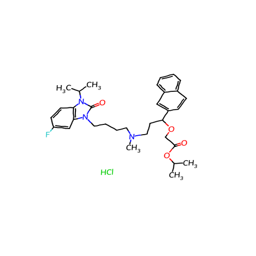 CC(C)OC(=O)COC(CCN(C)CCCCn1c(=O)n(C(C)C)c2ccc(F)cc21)c1ccc2ccccc2c1.Cl